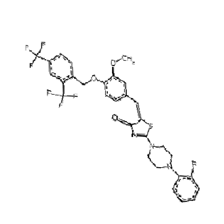 COc1cc(/C=C2/SC(N3CCN(c4ccccc4F)CC3)=NC2=O)ccc1OCc1ccc(C(F)(F)F)cc1C(F)(F)F